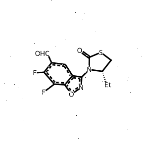 CC[C@H]1CSC(=O)N1c1noc2c(F)c(F)c(C=O)cc12